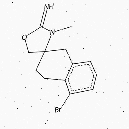 CN1C(=N)OCC12CCc1c(Br)cccc1C2